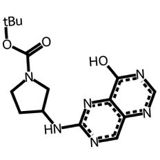 CC(C)(C)OC(=O)N1CCC(Nc2ncc3ncnc(O)c3n2)C1